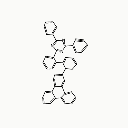 c1cccc(-c2nc(-c3ccccc3)nc(-c3ccccc3C3=CC=CCC3c3ccc4c5ccccc5c5ccccc5c4c3)n2)c#1